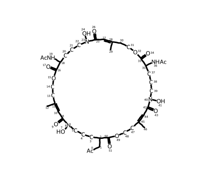 CC(=O)CC1CCCN(O)C(=O)/C=C(/C)CCOC(=O)C(NC(C)=O)CCCN(O)C(=O)/C=C(\C)CCOC(=O)C(NC(C)=O)CCCN(O)C(=O)/C=C(/C)CCOC1=O